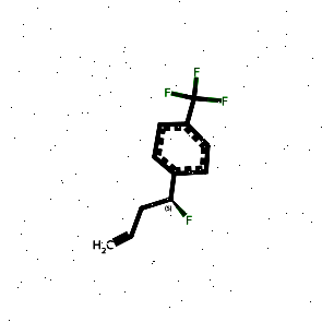 C=CC[C@H](F)c1ccc(C(F)(F)F)cc1